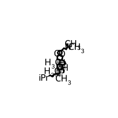 CC(C)CCC[C@@H](C)[C@H]1CC[C@H]2[C@@H]3CCC4CC5(CC[C@]4(C)[C@H]3CC[C@]12C)OCC(CCN(C)C)O5